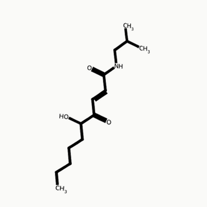 CCCCCC(O)C(=O)C=CC(=O)NCC(C)C